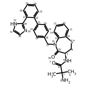 CC(C)(N)C(=O)N[C@@H]1CSc2ccccc2N(Cc2ccc(-c3ccccc3-c3ncc[nH]3)cc2)C1=O